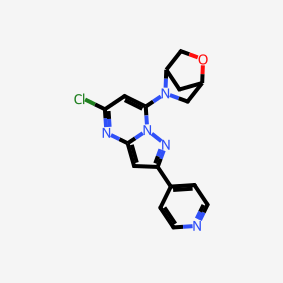 Clc1cc(N2CC3CC2CO3)n2nc(-c3ccncc3)cc2n1